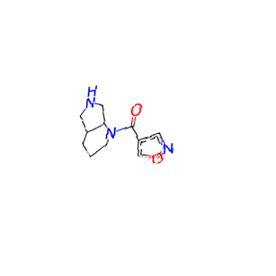 O=C(c1cnoc1)N1CCCC2CNCC21